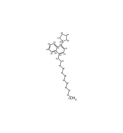 CCCCCCCCCCCCc1ccc([S+]2CCCC2)c2ccccc12